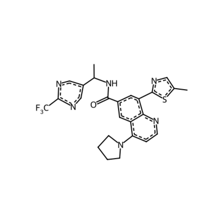 Cc1cnc(-c2cc(C(=O)NC(C)c3cnc(C(F)(F)F)nc3)cc3c(N4CCCC4)ccnc23)s1